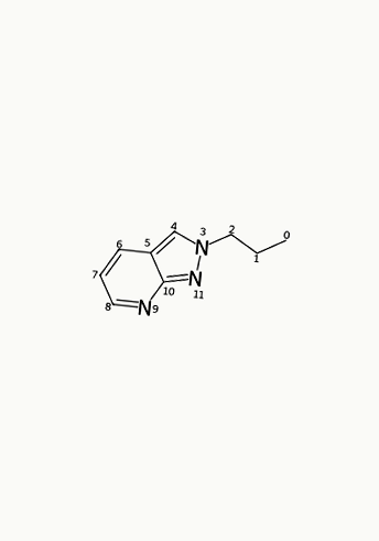 CCCn1cc2cccnc2n1